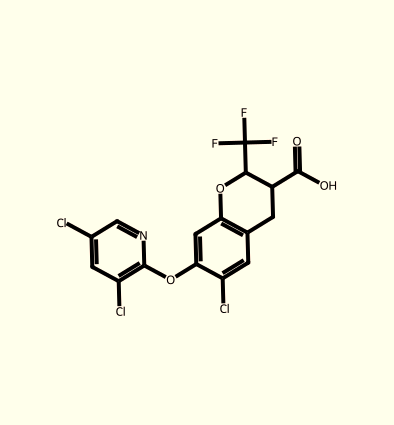 O=C(O)C1Cc2cc(Cl)c(Oc3ncc(Cl)cc3Cl)cc2OC1C(F)(F)F